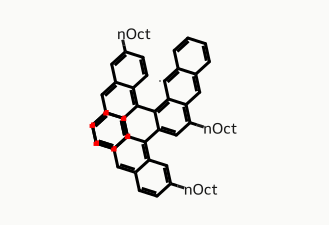 CCCCCCCCc1ccc2c(-c3c(-c4c5ccccc5cc5ccc(CCCCCCCC)cc45)cc(CCCCCCCC)c4cc5ccccc5[c]c34)c3ccccc3cc2c1